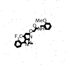 COc1ccccc1CNC(=O)COc1cc(C(F)(F)F)c2c(-c3ccccc3)nn(C)c2n1